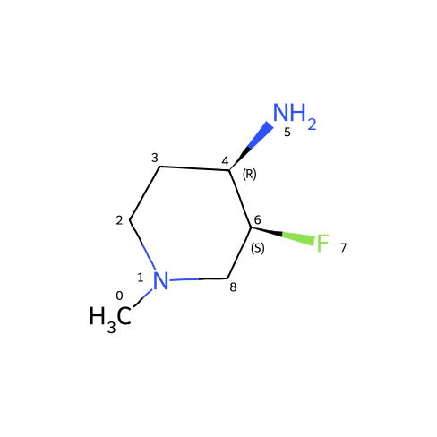 CN1CC[C@@H](N)[C@@H](F)C1